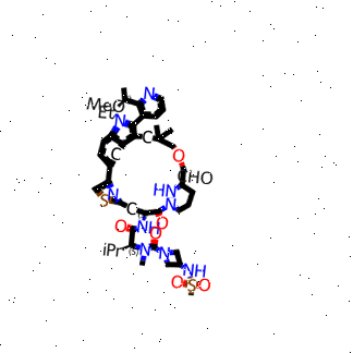 CCn1c(-c2cccnc2[C@H](C)OC)c2c3cc(ccc31)-c1csc(n1)C[C@H](NC(=O)[C@H](C(C)C)N(C)C(=O)N1CC(NS(C)(=O)=O)C1)C(=O)N1CCCC(C=O)(COCC(C)(C)C2)N1